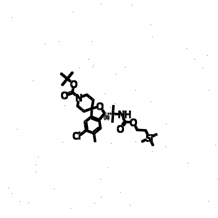 Cc1cc2c(cc1Cl)C1(CCN(C(=O)OC(C)(C)C)CC1)O[C@@H]2C(C)(C)NC(=O)OCC[Si](C)(C)C